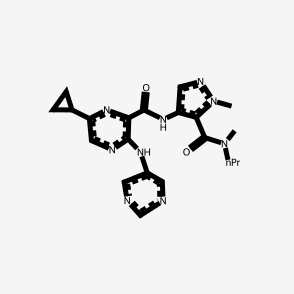 CCCN(C)C(=O)c1c(NC(=O)c2nc(C3CC3)cnc2Nc2cncnc2)cnn1C